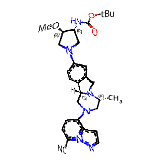 CO[C@@H]1CN(c2ccc3c(c2)CN2[C@H](C)CN(c4ccc(C#N)n5nccc45)C[C@H]32)C[C@H]1NC(=O)OC(C)(C)C